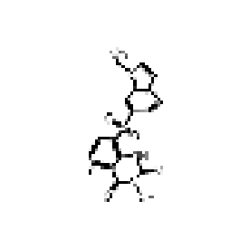 O=c1[nH]c2c(S(=O)(=O)c3ccc4ccn(CC(F)(F)F)c4c3)ccc(F)c2c(=O)n1O